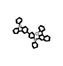 c1ccc(N(c2ccc(-c3ccc4c(c3)c3ccccc3n4-c3ccccc3)cc2)c2cc3ccccc3c3c2oc2ccccc23)cc1